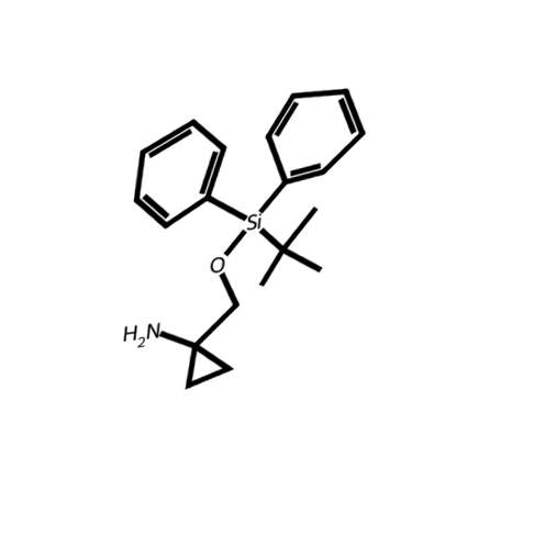 CC(C)(C)[Si](OCC1(N)CC1)(c1ccccc1)c1ccccc1